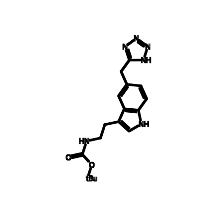 CC(C)(C)OC(=O)NCCc1c[nH]c2ccc(Cc3nnn[nH]3)cc12